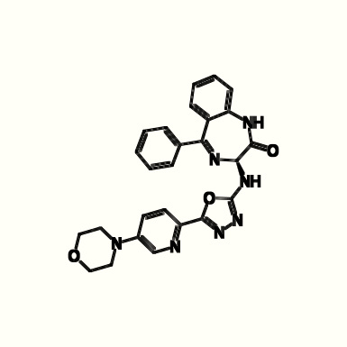 O=C1Nc2ccccc2C(c2ccccc2)=N[C@@H]1Nc1nnc(-c2ccc(N3CCOCC3)cn2)o1